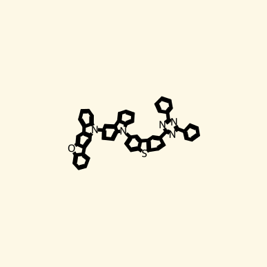 c1ccc(-c2nc(-c3ccccc3)nc(-c3ccc4sc5ccc(-n6c7ccccc7c7cc(-n8c9ccccc9c9cc%10oc%11ccccc%11c%10cc98)ccc76)cc5c4c3)n2)cc1